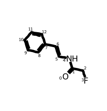 O=C(CF)NC=Cc1ccccc1